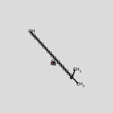 CCCCCCCCc1cccc(OCCOCCOCCOCCOCCOCCOCCOCCOCCOCCOCCOCCOCCOCCOCCOCCOCCOCCOCCOCCO)c1CCCCCCCC.O=CC(=O)[O-].[Na+]